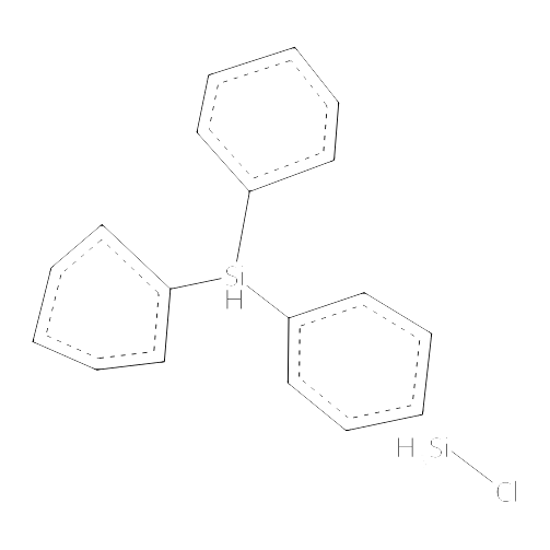 [SiH3]Cl.c1ccc([SiH](c2ccccc2)c2ccccc2)cc1